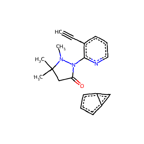 C#Cc1cccnc1N1C(=O)CC(C)(C)N1C.c1cc2cc-2c1